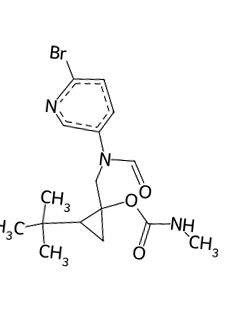 CNC(=O)OC1(CN(C=O)c2ccc(Br)nc2)CC1C(C)(C)C